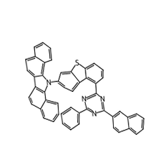 c1ccc(-c2nc(-c3ccc4ccccc4c3)nc(-c3cccc4sc5cc(-n6c7c8ccccc8ccc7c7ccc8ccccc8c76)ccc5c34)n2)cc1